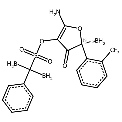 BC(B)(c1ccccc1)S(=O)(=O)OC1=C(N)O[C@@](B)(c2ccccc2C(F)(F)F)C1=O